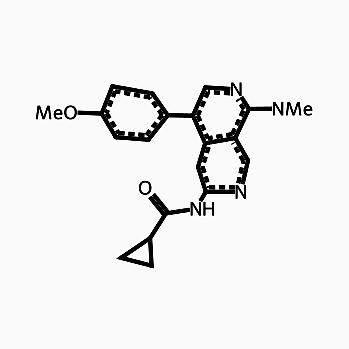 CNc1ncc(-c2ccc(OC)cc2)c2cc(NC(=O)C3CC3)ncc12